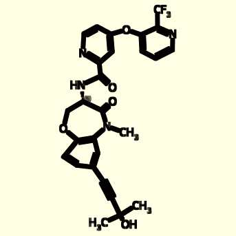 CN1C(=O)[C@@H](NC(=O)c2cc(Oc3cccnc3C(F)(F)F)ccn2)COc2ccc(C#CC(C)(C)O)cc21